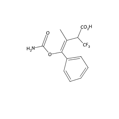 CC(=C(OC(N)=O)c1ccccc1)C(C(=O)O)C(F)(F)F